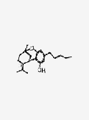 CCCCCc1cc(O)c2c(c1)OC1(C)CC[C@H](C(C)C)C2C1